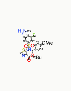 COc1ccc(CN(c2scnc2C(=O)OC(C)(C)C)S(=O)(=O)c2ccc(CN)c(F)c2)cc1